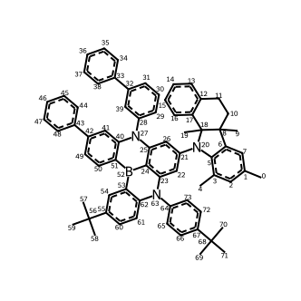 Cc1cc(C)c2c(c1)C1(C)CCc3ccccc3C1(C)N2c1cc2c3c(c1)N(c1cccc(-c4ccccc4)c1)c1cc(-c4ccccc4)ccc1B3c1cc(C(C)(C)C)ccc1N2c1ccc(C(C)(C)C)cc1